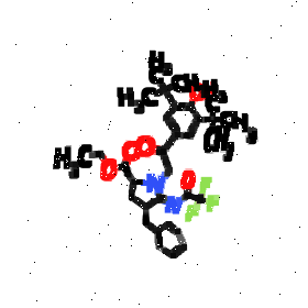 CCOC(=O)[C@@H]1C[C@H](Cc2ccccc2)/C(=N/C(=O)C(F)(F)F)N1CC(=O)c1cc(C(C)(C)C)c(O)c(C(C)(C)C)c1